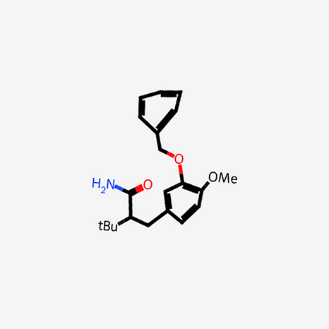 COc1ccc(CC(C(N)=O)C(C)(C)C)cc1OCc1ccccc1